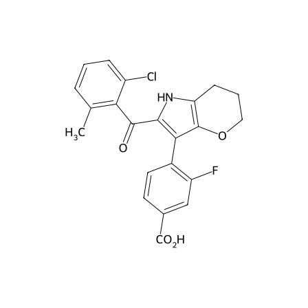 Cc1cccc(Cl)c1C(=O)c1[nH]c2c(c1-c1ccc(C(=O)O)cc1F)OCCC2